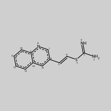 N=C(N)S/C=C/c1cnc2ccccc2c1